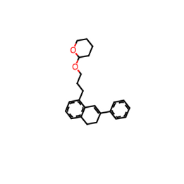 C1=C(c2ccccc2)CCc2cccc(CCCOC3CCCCO3)c21